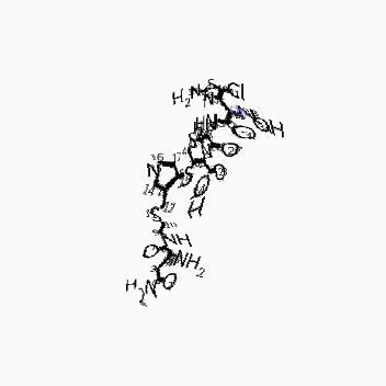 NC(=O)C[C@H](N)C(=O)NCCSCc1cnccc1SC1=C(C(=O)O)N2C(=O)[C@@H](NC(=O)/C(=N\O)c3nc(N)sc3Cl)[C@@H]2SC1